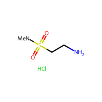 CNS(=O)(=O)CCN.Cl